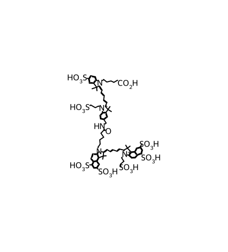 CC1(C)C(/C=C/C=C/C=C2/N(CCCCCC(=O)O)c3ccc(S(=O)(=O)O)cc3C2(C)C)=[N+](CCCS(=O)(=O)O)c2ccc(CNC(=O)CCCCCN3/C(=C/C=C/C=C/C4=[N+](CCCS(=O)(=O)O)c5ccc6c(S(=O)(=O)O)cc(S(=O)(=O)O)cc6c5C4(C)C)C(C)(C)c4c3ccc3c(S(=O)(=O)O)cc(S(=O)(=O)O)cc43)cc21